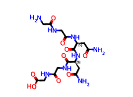 NCC(=O)NCC(=O)N[C@@H](CC(N)=O)C(=O)N[C@@H](CC(N)=O)C(=O)NCC(=O)NCC(=O)O